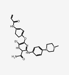 C=CC(=O)NC1=CC=C(OC2=C(CC)NC(C(N)=O)C(Nc3ccc(N4CCN(C)CC4)cc3)=N2)CC1